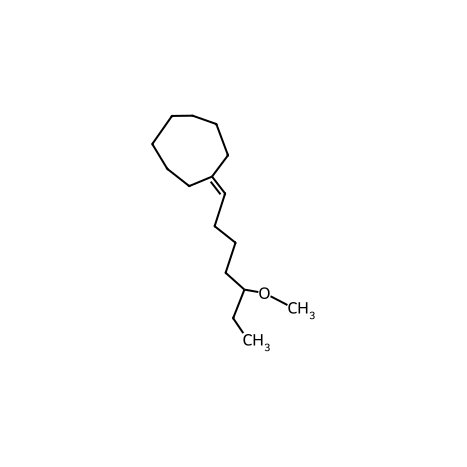 CCC(CCCC=C1CCCCCCC1)OC